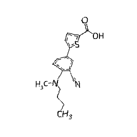 CCCCN(C)c1ccc(-c2ccc(C(=O)O)s2)cc1C#N